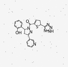 O=C(C1=CCC(c2nn[nH]n2)S1)N1N=C(c2cccnc2)CC1c1ccccc1O